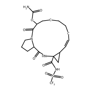 NC(=O)OC1CCCCC/C=C\C2CC2(C(=O)NS(=O)(=O)C(F)(F)F)NC(=O)C2CCCN2C1=O